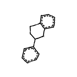 [C]1c2ccccc2CCC1c1ccccc1